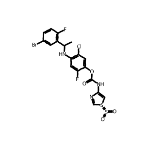 CC(Nc1cc(F)c(OC(=O)NC2=CS(=S(=O)=O)C=N2)cc1Cl)c1cc(Br)ccc1F